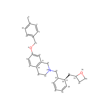 Cc1ccc(COc2ccc3c(c2)CN(CC2C=CC=C[C@@H]2CC2CCO2)CC3)cc1